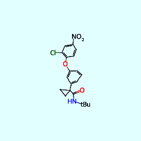 CC(C)(C)NC(=O)C1(c2cccc(Oc3ccc([N+](=O)[O-])cc3Cl)c2)CC1